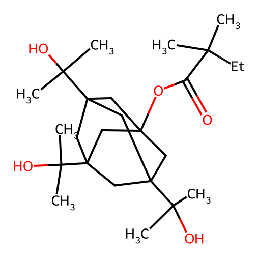 CCC(C)(C)C(=O)OC12CC3(C(C)(C)O)CC(C(C)(C)O)(C1)CC(C(C)(C)O)(C2)C3